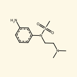 CN(C)CCN(c1cccc(N)c1)S(C)(=O)=O